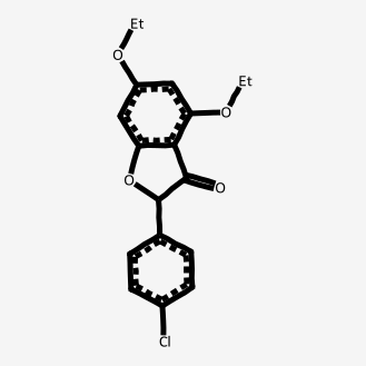 CCOc1cc(OCC)c2c(c1)OC(c1ccc(Cl)cc1)C2=O